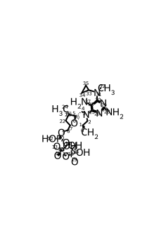 C=CCN(C[C@@H]1OC(COP(=O)(O)OP(=O)(O)OP(=O)(O)O)C[C@@H]1C)c1nc(N)nc(N(C)C2CC2)c1N